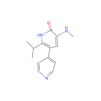 CNc1cc(-c2ccncc2)c(C(C)C)[nH]c1=O